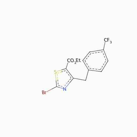 CCOC(=O)c1sc(Br)nc1Cc1ccc(C(F)(F)F)cc1